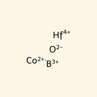 [B+3].[Co+2].[Hf+4].[O-2]